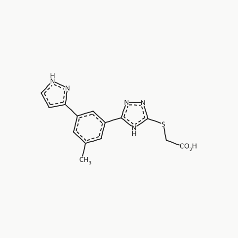 Cc1cc(-c2cc[nH]n2)cc(-c2nnc(SCC(=O)O)[nH]2)c1